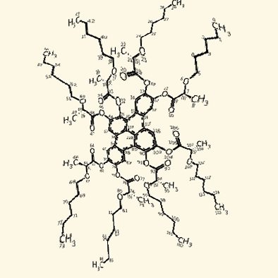 CCCCCCO[C@@H](C)C(=O)Oc1cc2c(cc1OC(=O)[C@H](C)OCCCCCC)c1c(OC(=O)[C@H](C)OCCCCCC)c(OC(=O)[C@H](C)OCCCCCC)cc3c4cc(OC(=O)[C@H](C)OCCCCCC)c(OC(=O)[C@H](C)OCCCCCC)cc4c4c(OC(=O)[C@H](C)OCCCCCC)c(OC(=O)[C@H](C)OCCCCCC)cc2c4c31